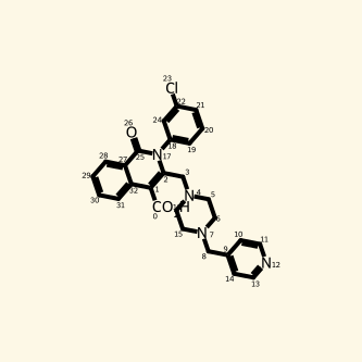 O=C(O)c1c(CN2CCN(Cc3ccncc3)CC2)n(-c2cccc(Cl)c2)c(=O)c2ccccc12